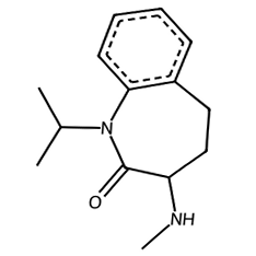 CNC1CCc2ccccc2N(C(C)C)C1=O